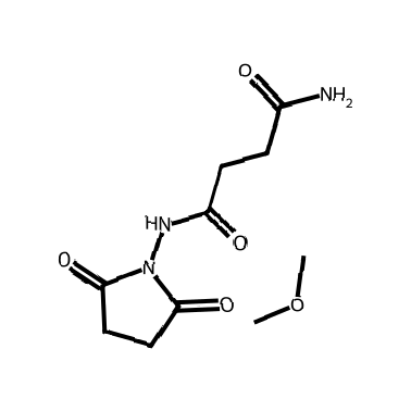 COC.NC(=O)CCC(=O)NN1C(=O)CCC1=O